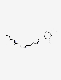 CC[C@@H](N)/C=C(\O)OC(O)/C=C/CC/C=C(\O)O[C@H]1CC[C@H](N)CC1N